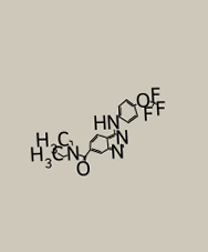 CCN(CC)C(=O)c1ccc2c(Nc3ccc(OC(F)(F)F)cc3)ncnc2c1